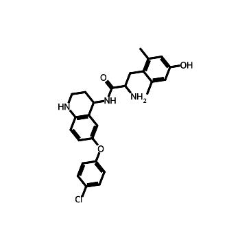 Cc1cc(O)cc(C)c1CC(N)C(=O)NC1CCNc2ccc(Oc3ccc(Cl)cc3)cc21